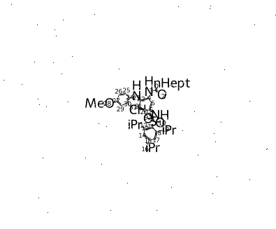 CCCCCCCC(=O)Nc1cc(NS(=O)(=O)c2c(C(C)C)cc(C(C)C)cc2C(C)C)ccc1Nc1ccc(OC)cc1C